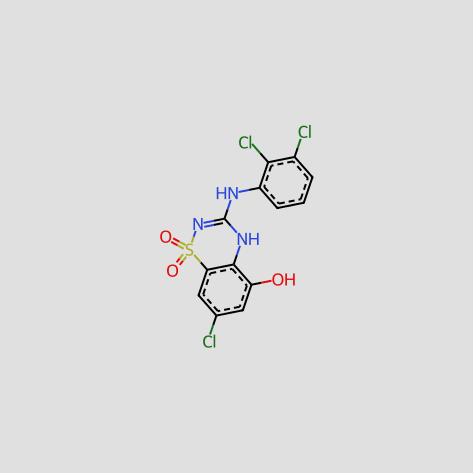 O=S1(=O)N=C(Nc2cccc(Cl)c2Cl)Nc2c(O)cc(Cl)cc21